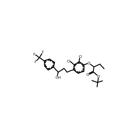 CCC(Oc1ccc(CCC(O)c2ccc(C(F)(F)F)cc2)c(Cl)c1Cl)C(=O)OC(C)(C)C